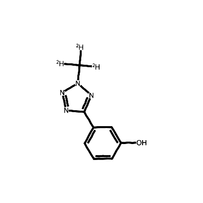 [2H]C([2H])([2H])n1nnc(-c2cccc(O)c2)n1